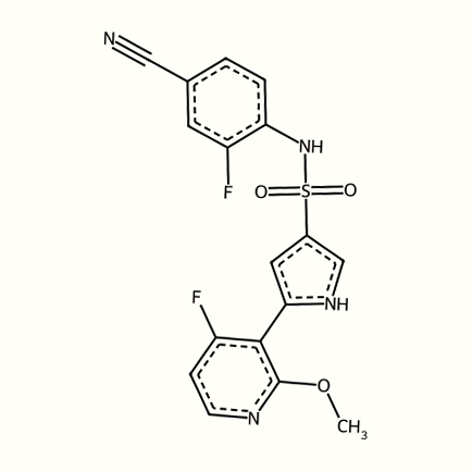 COc1nccc(F)c1-c1cc(S(=O)(=O)Nc2ccc(C#N)cc2F)c[nH]1